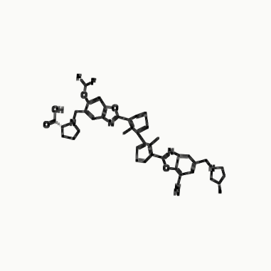 Cc1c(-c2nc3cc(CN4CCC[C@@H]4C(=O)O)c(OC(F)F)cc3o2)cccc1-c1cccc(-c2nc3cc(CN4CC[C@@H](C)C4)cc(C#N)c3o2)c1C